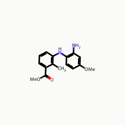 COC(=O)c1cccc(Nc2ccc(OC)cc2N)c1C